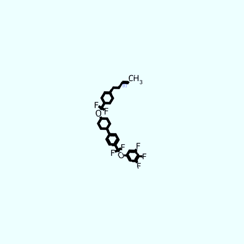 C/C=C/CCC1CCC(C(F)(F)OC2CCC(c3ccc(C(F)(F)Oc4cc(F)c(F)c(F)c4)cc3)CC2)CC1